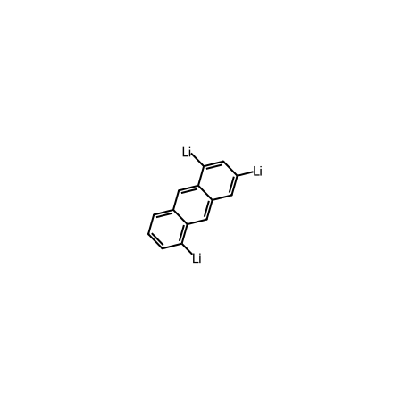 [Li][c]1c[c]([Li])c2cc3ccc[c]([Li])c3cc2c1